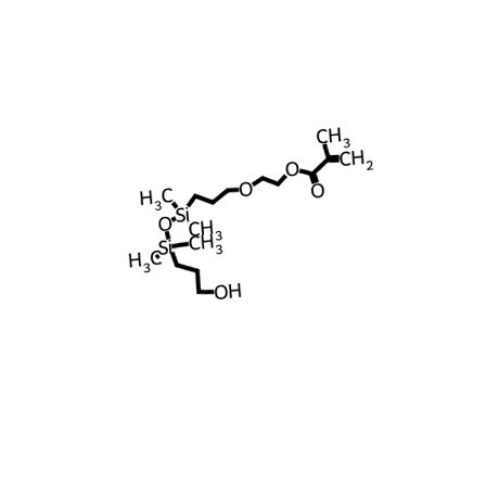 C=C(C)C(=O)OCCOCCC[Si](C)(C)O[Si](C)(C)CCCO